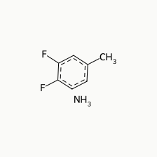 Cc1ccc(F)c(F)c1.N